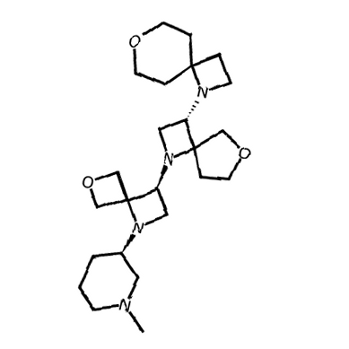 CN1CCC[C@@H](N2C[C@H](N3C[C@H](N4CCC45CCOCC5)C34CCOC4)C23COC3)C1